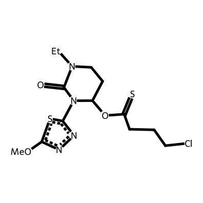 CCN1CCC(OC(=S)CCCCl)N(c2nnc(OC)s2)C1=O